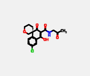 CC(=O)CNC(=O)C1=C(O)c2cc(Cl)ccc2[C@]2(CCCOC2)C1=O